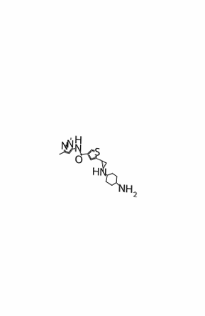 Cc1cc(NC(=O)c2csc(C3CC3NC3CCC(N)CC3)c2)n(C)n1